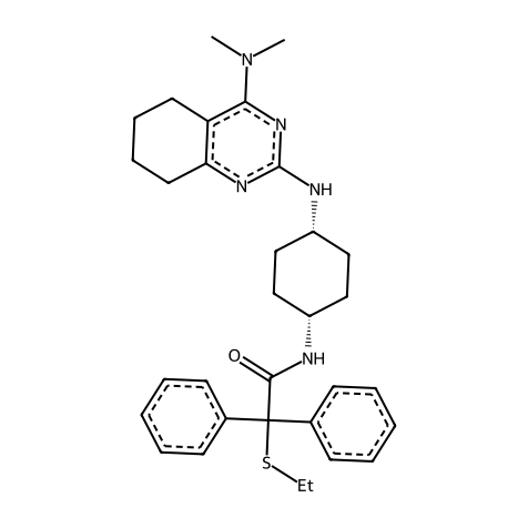 CCSC(C(=O)N[C@H]1CC[C@@H](Nc2nc3c(c(N(C)C)n2)CCCC3)CC1)(c1ccccc1)c1ccccc1